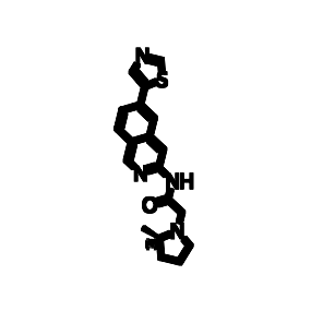 C[C@@H]1CCCN1CC(=O)Nc1cc2cc(-c3cncs3)ccc2cn1